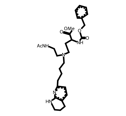 COC(=O)C(CCN(CCCCc1ccc2c(n1)NCCC2)CCNC(C)=O)NC(=O)OCc1ccccc1